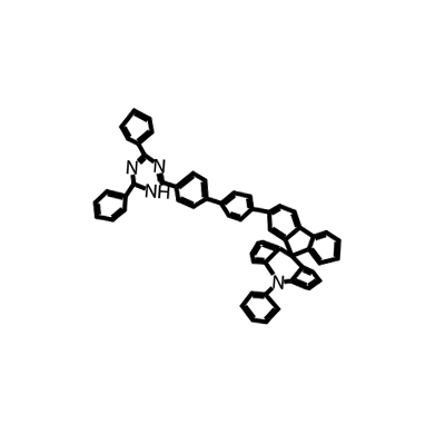 c1ccc(C2=NC(c3ccccc3)NC(c3ccc(-c4ccc(-c5ccc6c(c5)C5(c7ccccc7-6)c6ccccc6N(c6ccccc6)c6ccccc65)cc4)cc3)=N2)cc1